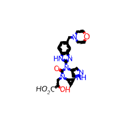 O=C(O)C(O)CN(C(=O)N(c1cn[nH]c1)c1nc2cc(CN3CCOCC3)ccc2[nH]1)C1CC1